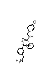 NCc1cccc(C(=O)N2CCCC[C@H]2C(=O)NCC2C=CC(Cl)=CC2)c1